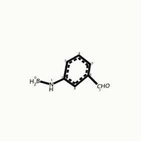 BNc1cccc(C=O)c1